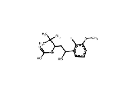 COc1cccc(C(O)CC(NC(=O)O)C(C)(C)C)c1F